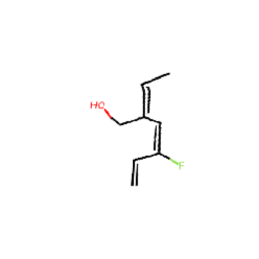 C=C/C(F)=C\C(=C/C)CO